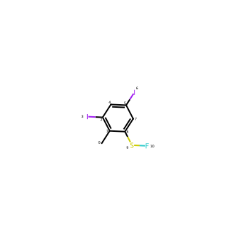 Cc1c(I)cc(I)cc1SF